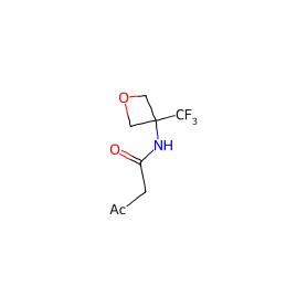 CC(=O)CC(=O)NC1(C(F)(F)F)COC1